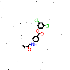 CC(C)C(=O)CNc1ccc(C(=O)Oc2cc(Cl)cc(Cl)c2)cc1